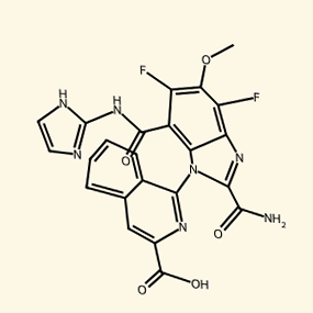 COc1c(F)c(C(=O)Nc2ncc[nH]2)c2c(nc(C(N)=O)n2-c2nc(C(=O)O)cc3ccccc23)c1F